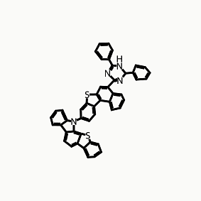 c1ccc(C2=NC(c3cc4sc5cc(-n6c7ccccc7c7ccc8c9ccccc9sc8c76)ccc5c4c4ccccc34)=NC(c3ccccc3)N2)cc1